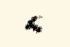 F[B-](F)(F)F.F[B-](F)(F)F.F[B-](F)(F)F.[Ir+3].c1ccc(P(c2ccccn2)c2ccccn2)nc1